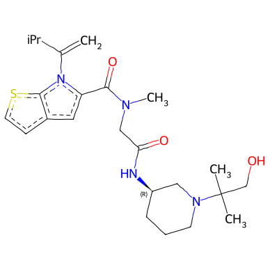 C=C(C(C)C)n1c(C(=O)N(C)CC(=O)N[C@@H]2CCCN(C(C)(C)CO)C2)cc2ccsc21